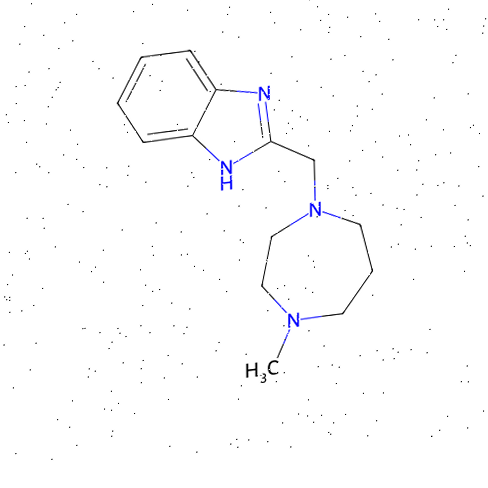 CN1CCCN(Cc2nc3ccccc3[nH]2)CC1